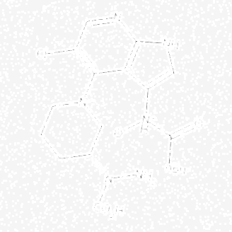 CCCCC(=O)[NH+]([O-])c1c[nH]c2ncc(Cl)c(N3CCC[C@@H](N(N)C(=O)O)C3)c12